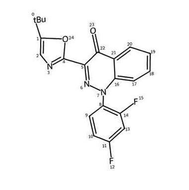 CC(C)(C)c1cnc(-c2nn(-c3ccc(F)cc3F)c3ccccc3c2=O)o1